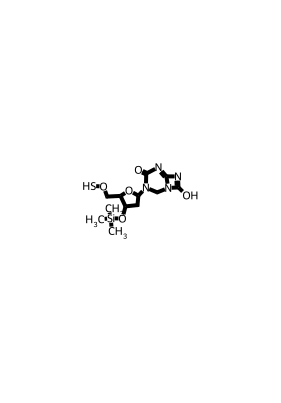 C[Si](C)(C)OC1CC(N2CN3C(O)=NC3=NC2=O)OC1COS